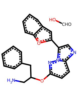 NCC(Cc1ccccc1)Oc1ccc2ncc(-c3cc4ccccc4o3)n2n1.O=CO